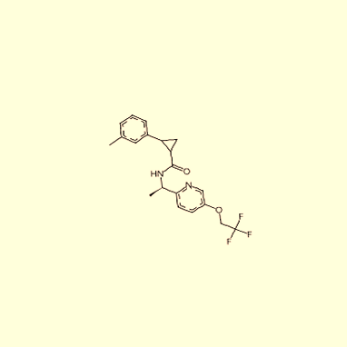 Cc1cccc(C2CC2C(=O)N[C@H](C)c2ccc(OCC(F)(F)F)cn2)c1